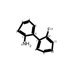 Nc1ccccc1-c1cc[c]cc1F